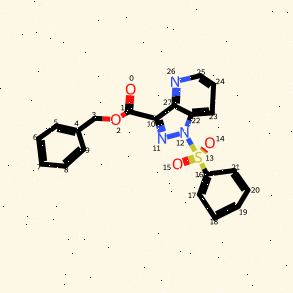 O=C(OCc1ccccc1)c1nn(S(=O)(=O)c2ccccc2)c2cccnc12